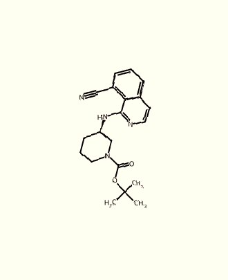 CC(C)(C)OC(=O)N1CCC[C@@H](Nc2nccc3cccc(C#N)c23)C1